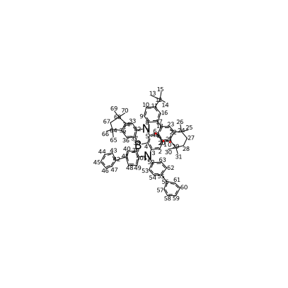 Cc1cc2c3c(c1)N(c1ccc(C(C)(C)C)cc1-c1ccc4c(c1)C(C)(C)CCC4(C)C)c1cc4c(cc1B3c1cc(-c3ccccc3)ccc1N2c1ccc(-c2ccccc2)cc1)C(C)(C)CC4(C)C